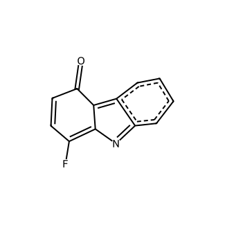 O=C1C=CC(F)=C2N=c3ccccc3=C12